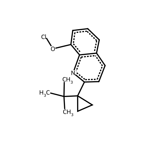 CC(C)(C)C1(c2ccc3cccc(OCl)c3n2)CC1